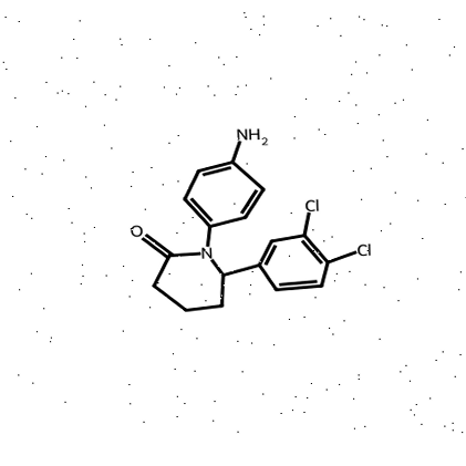 Nc1ccc(N2C(=O)CCCC2c2ccc(Cl)c(Cl)c2)cc1